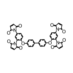 O=C1C=CC(=O)N1c1ccc(Oc2ccc(-c3ccc(Oc4ccc(N5C(=O)C=CC5=O)cc4N4C(=O)C=CC4=O)cc3)cc2)c(N2C(=O)C=CC2=O)c1